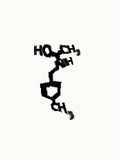 Cc1ccc(CNC(C)O)cc1